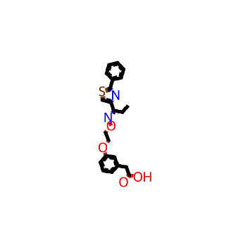 CC/C(=N\OCCOc1cccc(CC(=O)O)c1)c1csc(-c2ccccc2)n1